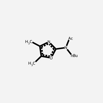 CCCCN(C(C)=O)c1nc(C)c(C)o1